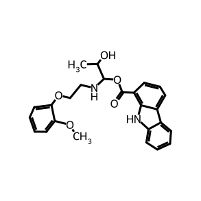 COc1ccccc1OCCNC(OC(=O)c1cccc2c1[nH]c1ccccc12)C(C)O